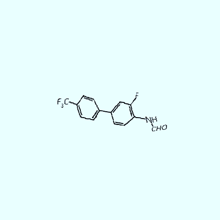 O=CNc1ccc(-c2ccc(C(F)(F)F)cc2)cc1F